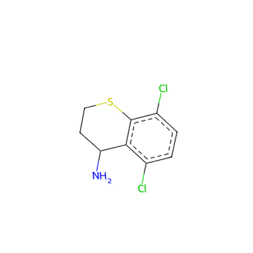 NC1CCSc2c(Cl)ccc(Cl)c21